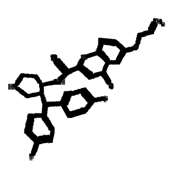 C=CCOc1ccc2oc(C(=O)NN3CCNCC3C(c3ccc(F)cc3)c3ccc(F)cc3)cc(=O)c2c1